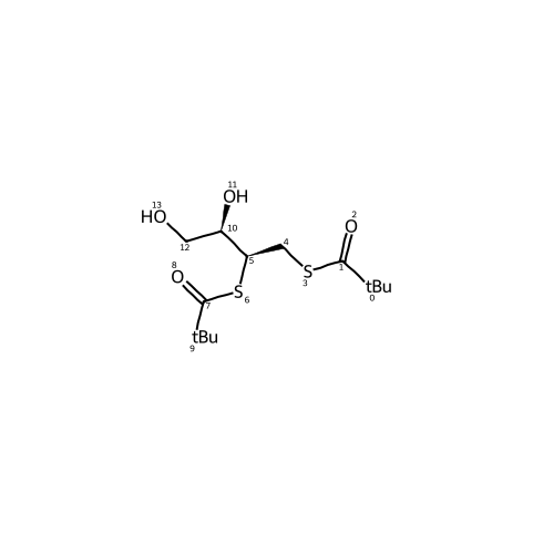 CC(C)(C)C(=O)SC[C@@H](SC(=O)C(C)(C)C)[C@H](O)CO